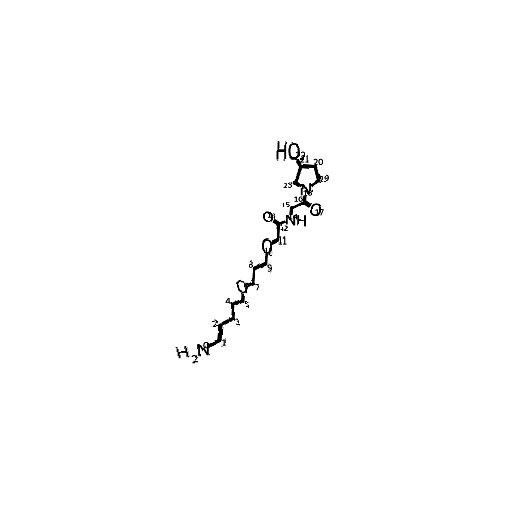 NCCCCCOCCCOCC(=O)NCC(=O)N1CCC(O)C1